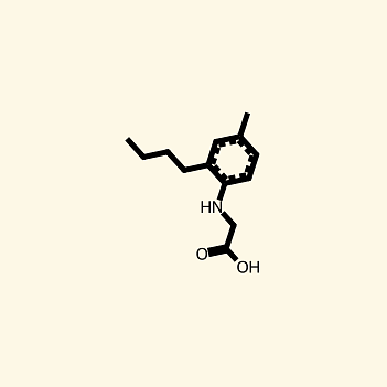 CCCCc1cc(C)ccc1NCC(=O)O